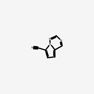 N#Cc1ccc2cncnn12